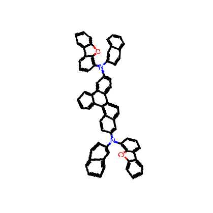 c1ccc2cc(N(c3ccc4c(ccc5c6ccc(N(c7ccc8ccccc8c7)c7cccc8c7oc7ccccc78)cc6c6ccccc6c45)c3)c3cccc4c3oc3ccccc34)ccc2c1